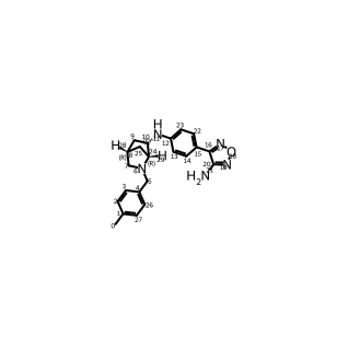 Cc1ccc(CN2C[C@@H]3C[C@H](Nc4ccc(-c5nonc5N)cc4)[C@H]2C3)cc1